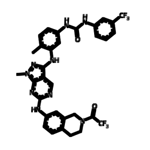 Cc1ccc(NC(=O)Nc2cccc(C(F)(F)F)c2)cc1Nc1nn(C)c2nc(Nc3ccc4c(c3)CN(C(=O)C(F)(F)F)CC4)ncc12